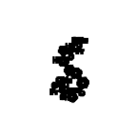 COC(=O)N[C@H](C(=O)N[C@@H]1CCC[C@H]1NC(=O)c1cccc(-c2ccc3cc(-c4c[nH]c([C@@H]5CCCN5C(=O)[C@@H](NC(=O)OC)C(C)C)n4)ccc3c2)c1)C(C)C